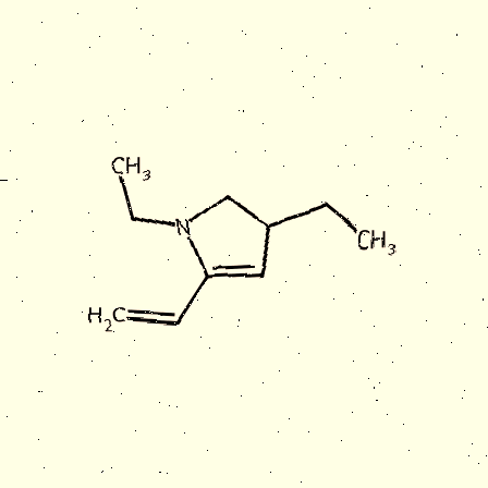 C=CC1=CC(CC)CN1CC